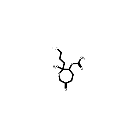 CCCCC1(C)OCC(=O)CCC1OC(C)=O